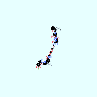 Cc1ccc(NC(=O)C2(c3ccc4c(c3)OC(F)(F)O4)CC2)nc1-c1cccc(C(=O)NCCOCCOCCOCCNC(=O)c2ccc3c(=O)n(CC4(O)CCN(C(=O)C[C@@H](C)c5ccccc5)CC4)cnn23)c1